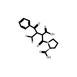 O=C(O)C(C(=O)N1CCC[C@H]1C(=O)O)C(C(=O)c1ccccc1)C(F)F